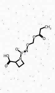 CCC(=O)OCO/N=[N+](\[O-])N1CCC1C(=O)O